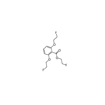 O=C(OCCF)c1c(OCCF)cccc1OCCF